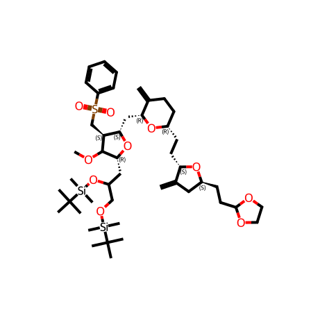 C=C1C[C@H](CCC2OCCO2)O[C@H]1CC[C@H]1CCC(=C)[C@@H](C[C@@H]2O[C@H](CC(CO[Si](C)(C)C(C)(C)C)O[Si](C)(C)C(C)(C)C)C(OC)[C@H]2CS(=O)(=O)c2ccccc2)O1